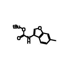 Cc1ccc2c(NC(=O)OC(C)(C)C)coc2c1